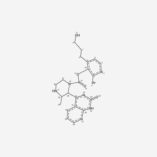 CC(C)c1nccc(CCCO)c1OC(=O)N1CCNC(C)C1c1nc(=O)[nH]c2ncccc12